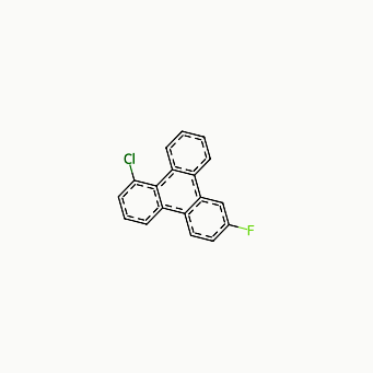 Fc1ccc2c(c1)c1ccccc1c1c(Cl)cccc21